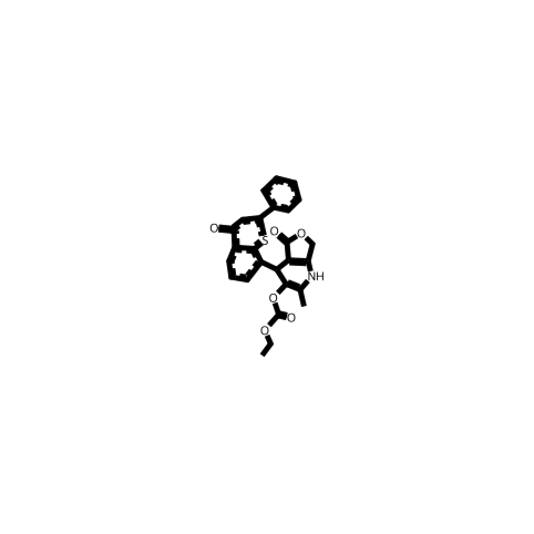 CCOC(=O)OC1=C(C)NC2=C(C(=O)OC2)C1c1cccc2c(=O)cc(-c3ccccc3)sc12